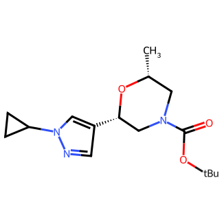 C[C@@H]1CN(C(=O)OC(C)(C)C)C[C@H](c2cnn(C3CC3)c2)O1